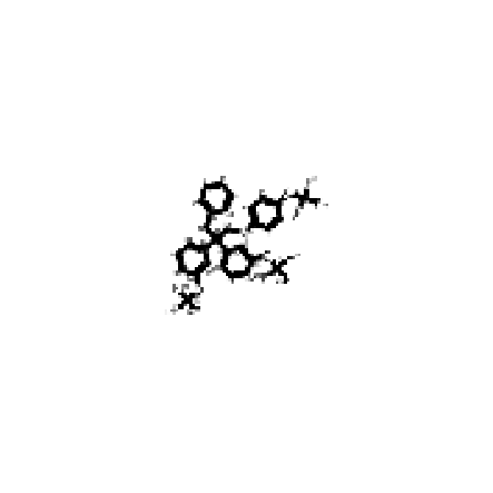 FC(F)(F)Oc1ccc(NCC(Cc2ccccc2)(c2cccc(OC(F)(F)F)c2)c2cccc(OC(F)(F)F)c2)cc1